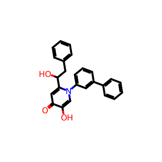 O=c1cc(C(O)Cc2ccccc2)n(-c2cccc(-c3ccccc3)c2)cc1O